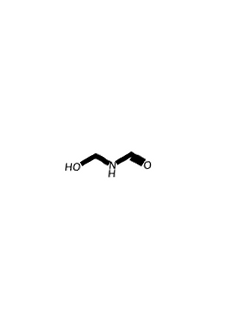 O=[C]NCO